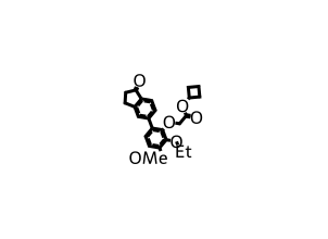 CCOc1c(OC)ccc(-c2ccc3c(c2)CCC3=O)c1OCC(=O)OC1CCC1